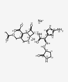 CC(=O)OCC1=C(C(=O)[O-])N2C(=O)[C@H](NC(=O)/C(=N\O[C@H]3CCNC3=O)c3csc(N)n3)[C@H]2SC1.[Na+]